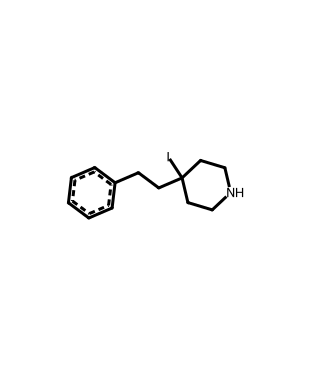 IC1(CCc2ccccc2)CCNCC1